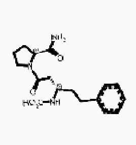 NC(=O)[C@@H]1CCCN1C(=O)C[C@H](CCc1ccccc1)NC(=O)O